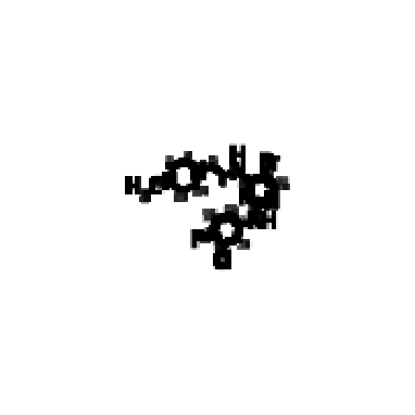 CN1CCN(CCNc2nc(Nc3ccc(F)c(Cl)c3)ncc2Br)CC1